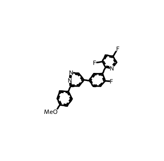 COc1ccc(-c2cc(-c3ccc(F)c(-c4ncc(F)cc4F)c3)cnn2)cc1